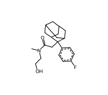 CN(CCO)C(=O)CC1(c2ccc(F)cc2)C2CC3CC(C2)CC1C3